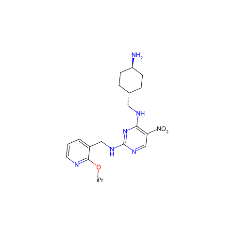 CC(C)Oc1ncccc1CNc1ncc([N+](=O)[O-])c(NC[C@H]2CC[C@H](N)CC2)n1